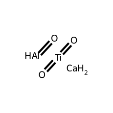 [CaH2].[O]=[AlH].[O]=[Ti]=[O]